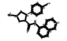 CC(C)(C)N1C[C@H](C(=O)Nc2cccc3cnccc23)[C@@H](c2ccc(F)cc2)C1